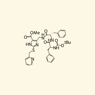 COC(=O)c1[nH]c(SCc2ccccn2)nc1CNC(=O)[C@H](Cc1ccccc1)NC(=O)[C@H](Cc1ccccc1)NC(=O)OC(C)(C)C